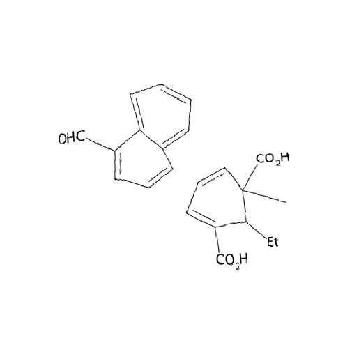 CCC1C(C(=O)O)=CC=CC1(C)C(=O)O.O=Cc1cccc2ccccc12